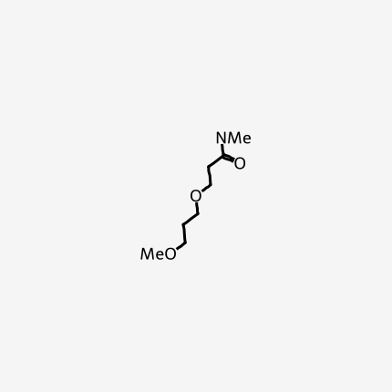 CNC(=O)CCOCCCOC